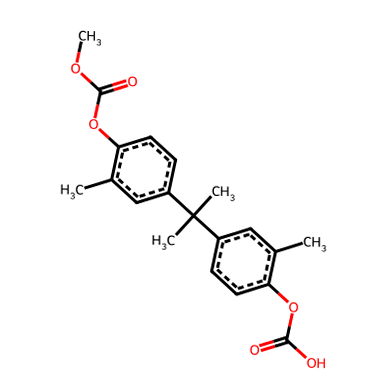 COC(=O)Oc1ccc(C(C)(C)c2ccc(OC(=O)O)c(C)c2)cc1C